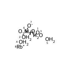 O.O.O.O.O.O.O=[N+]([O-])[O-].[Rb+]